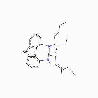 CCCCCN(CCCCC)c1cccc2[se]c3cccc(N(CCCCC)CCCCC)c3c12